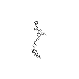 CC1=CC(OCCCC2CCN(c3nc(C(C)(F)F)no3)CC2)CC=C1C(=O)NCCN1CCCC1